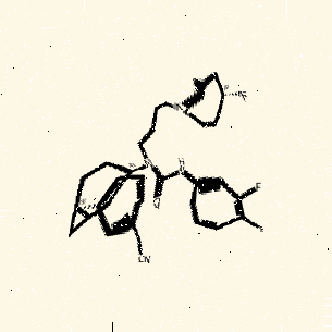 N#Cc1cccc([C@]23CC[C@@H](N(CCCN4CC[C@H](F)C4)C(=O)Nc4ccc(F)c(F)c4)CC2C3)c1